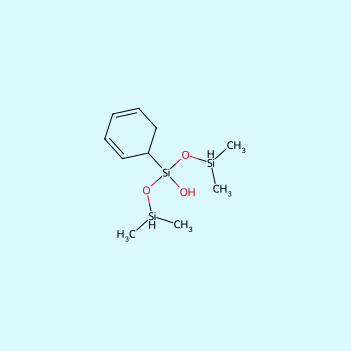 C[SiH](C)O[Si](O)(O[SiH](C)C)C1C=CC=CC1